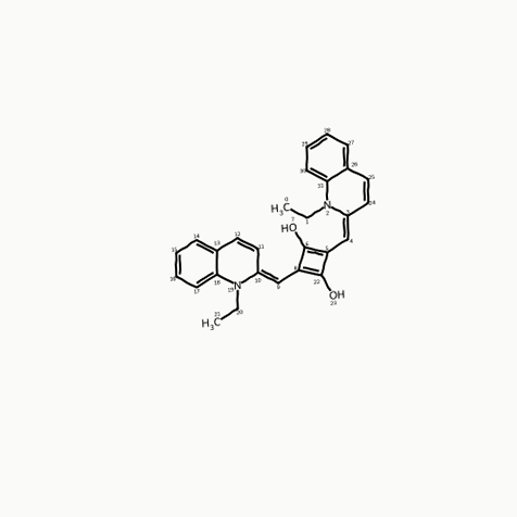 CCN1C(=CC2=C(O)C(C=C3C=Cc4ccccc4N3CC)=C2O)C=Cc2ccccc21